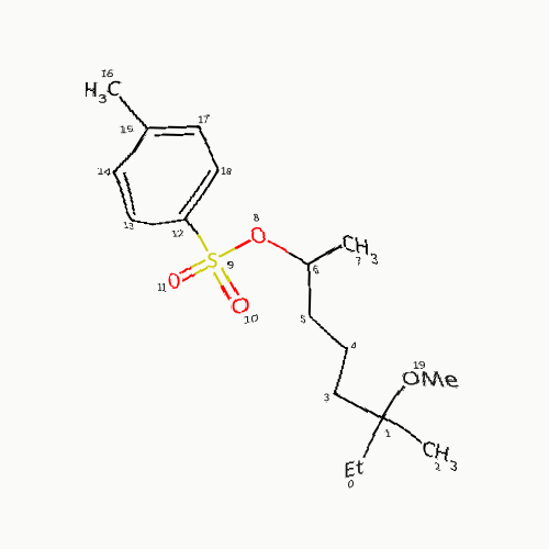 CCC(C)(CCCC(C)OS(=O)(=O)c1ccc(C)cc1)OC